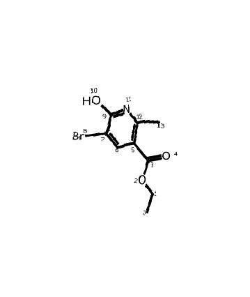 CCOC(=O)c1cc(Br)c(O)nc1C